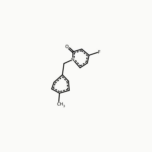 Cc1ccc(Cn2ccc(F)cc2=O)cc1